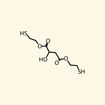 O=C(CC(O)C(=O)OCCS)OCCS